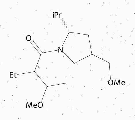 CCC(C(=O)N1CC(COC)C[C@H]1C(C)C)C(C)OC